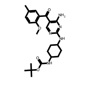 COc1ccc(C)cc1C(=O)c1cnc(NC2CCC(NC(=O)OC(C)(C)C)CC2)nc1N